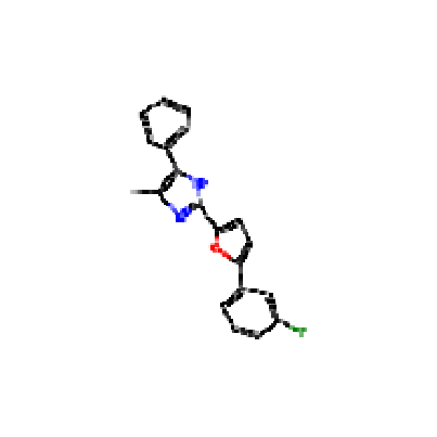 Cc1nc(-c2ccc(-c3cccc(F)c3)o2)[nH]c1-c1ccccc1